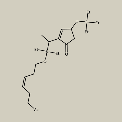 CC[Si](CC)(CC)OC1C=C(C(C)[Si](CC)(CC)OCC/C=C\CCC(C)=O)C(=O)C1